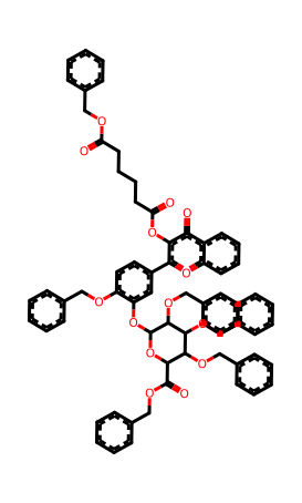 O=C(CCCCC(=O)Oc1c(-c2ccc(OCc3ccccc3)c(OC3OC(C(=O)OCc4ccccc4)C(OCc4ccccc4)C(OCc4ccccc4)C3OCc3ccccc3)c2)oc2ccccc2c1=O)OCc1ccccc1